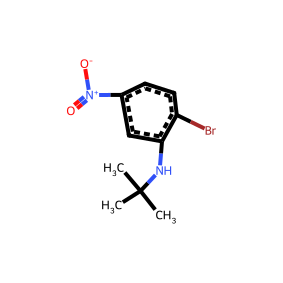 CC(C)(C)Nc1cc([N+](=O)[O-])ccc1Br